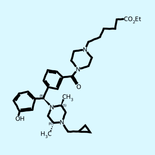 CCOC(=O)CCCCCN1CCN(C(=O)c2cccc([C@H](c3cccc(O)c3)N3C[C@@H](C)N(CC4CC4)C[C@@H]3C)c2)CC1